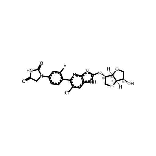 O=C1CN(c2ccc(-c3nc4nc(O[C@@H]5CO[C@H]6[C@@H]5OC[C@H]6O)[nH]c4cc3Cl)c(F)c2)C(=O)N1